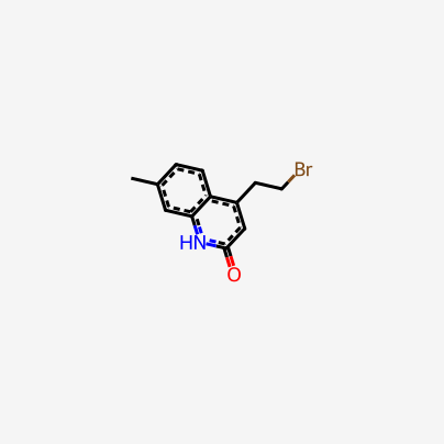 Cc1ccc2c(CCBr)cc(=O)[nH]c2c1